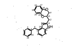 c1ccc(Cc2cccc3[nH]c(CC4COc5ccccc5O4)nc23)cc1